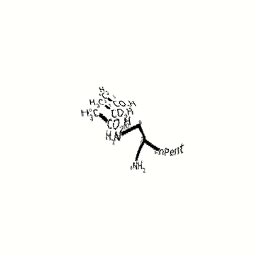 CC(=O)O.CC(=O)O.CC(=O)O.CCCCCC(N)CN